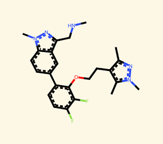 CNCc1nn(C)c2ccc(-c3ccc(F)c(F)c3OCCc3c(C)nn(C)c3C)cc12